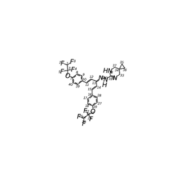 FC(F)C(F)(F)Oc1ccc(/C=C/C(/C=C/c2ccc(OC(F)(F)C(F)F)cc2)=NNC2=NCC3(CC3)CN2)cc1